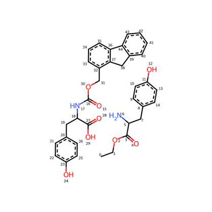 CCOC(=O)C(N)Cc1ccc(O)cc1.O=C(NC(Cc1ccc(O)cc1)C(=O)O)OCc1cccc2c1Cc1ccccc1-2